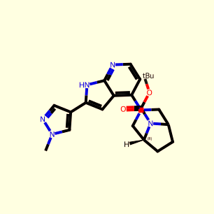 Cn1cc(-c2cc3c(N4CC5CC[C@H](C4)N5C(=O)OC(C)(C)C)ccnc3[nH]2)cn1